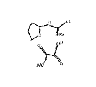 CCC(NC)NC1CCCO1.O=C(O)C(=O)O